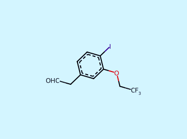 O=CCc1ccc(I)c(OCC(F)(F)F)c1